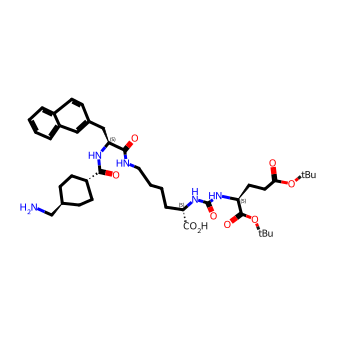 CC(C)(C)OC(=O)CC[C@H](NC(=O)N[C@@H](CCCCNC(=O)[C@H](Cc1ccc2ccccc2c1)NC(=O)[C@H]1CC[C@H](CN)CC1)C(=O)O)C(=O)OC(C)(C)C